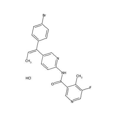 CC=C(c1ccc(Br)cc1)c1ccc(NC(=O)c2cncc(F)c2C)nc1.Cl